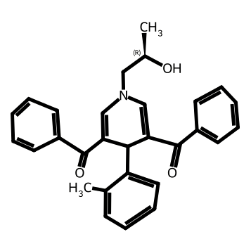 Cc1ccccc1C1C(C(=O)c2ccccc2)=CN(C[C@@H](C)O)C=C1C(=O)c1ccccc1